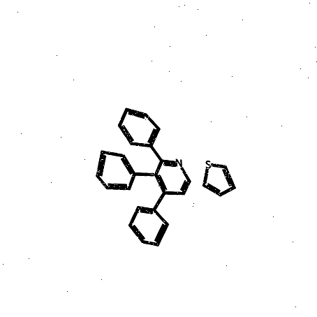 c1ccc(-c2ccnc(-c3ccccc3)c2-c2ccccc2)cc1.c1ccsc1